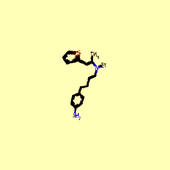 CCN(CCCCc1ccc(N)cc1)C(C)Cc1cccs1